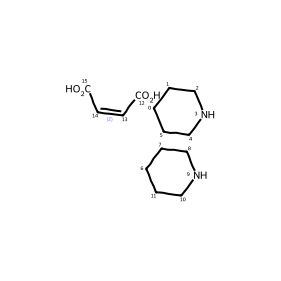 C1CCNCC1.C1CCNCC1.O=C(O)/C=C\C(=O)O